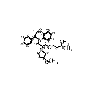 COC1CCN(C(COCCC(C)C)CN2c3ccccc3OCC2c2ccccc2)C1